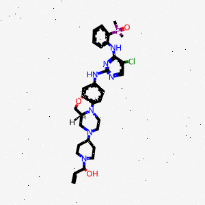 C=CC(O)N1CCC(N2CCN3c4ccc(Nc5ncc(Cl)c(Nc6ccccc6P(C)(C)=O)n5)cc4OC[C@H]3C2)CC1